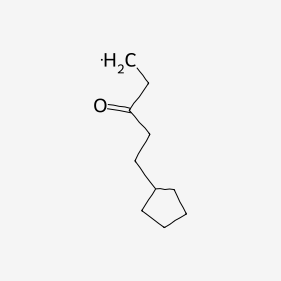 [CH2]CC(=O)CCC1CCCC1